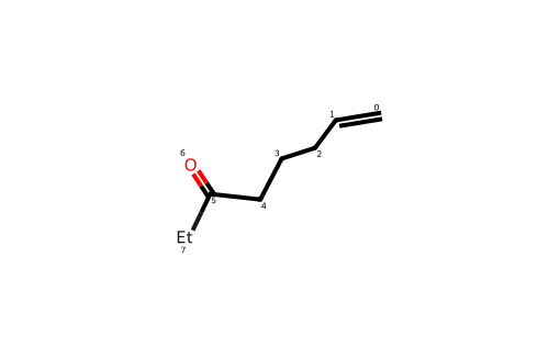 C=CCCCC(=O)CC